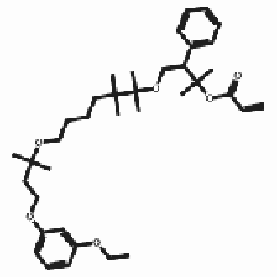 C=CC(=O)OC(C)(C)C(COC(C)(C)C(C)(C)CCCCOC(C)(C)CCOc1cccc(OCC)c1)c1ccccc1